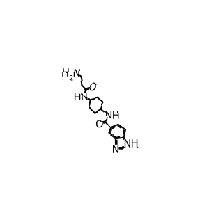 NCCC(=O)NC1CCC(NC(=O)c2ccc3[nH]cnc3c2)CC1